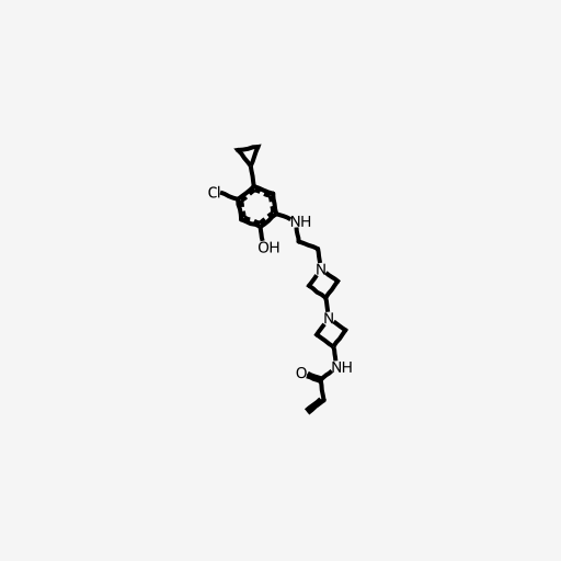 C=CC(=O)NC1CN(C2CN(CCNc3cc(C4CC4)c(Cl)cc3O)C2)C1